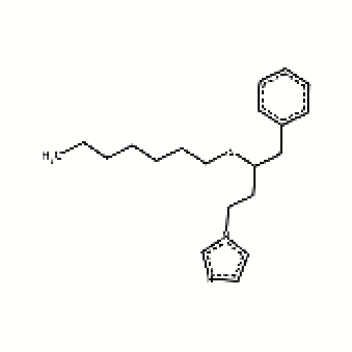 CCCCCCCSC(CCn1ccnc1)Cc1ccccc1